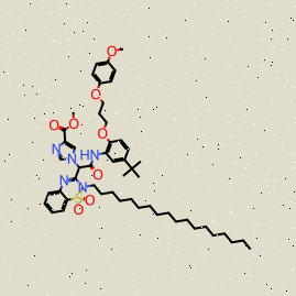 CCCCCCCCCCCCCCCCCCN1C(C(C(=O)Nc2cc(C(C)(C)C)ccc2OCCCOc2ccc(OC)cc2)n2cnc(C(=O)OC)c2)=Nc2ccccc2S1(=O)=O